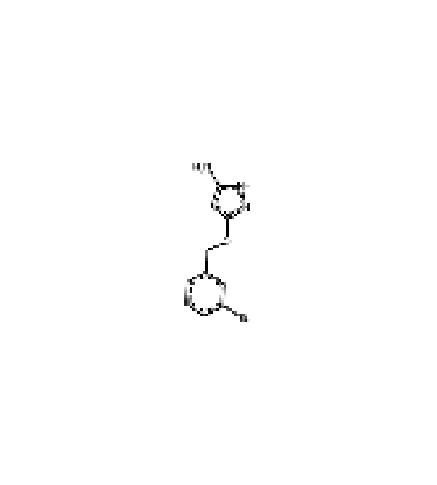 CCc1cccc(COc2cc(N)[nH]n2)c1